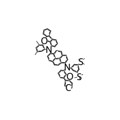 Cc1cc(C)cc(N(c2ccc3ccc4c(N(c5cc(S(C)(C)C)cc(S(C)(C)C)c5)c5cccc6c5oc5ccccc56)ccc5ccc2c3c54)c2cccc3c2oc2ccccc23)c1